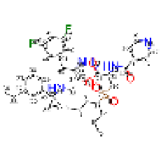 CCCC(CCC)S(=O)(=O)CC(NC(=O)c1ccncc1)C(=O)O[C@H](CNC1(c2cccc(CC)c2)CC1)[C@@H](N)Cc1cc(F)cc(F)c1